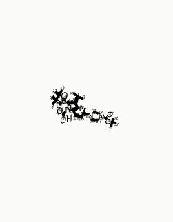 CC(C)c1c(B2OC(C)(C)C(C)(C)O2)n(C(=O)O)c2ccc(N3CCN(C(=O)OC(C)(C)C)CC3)nc12